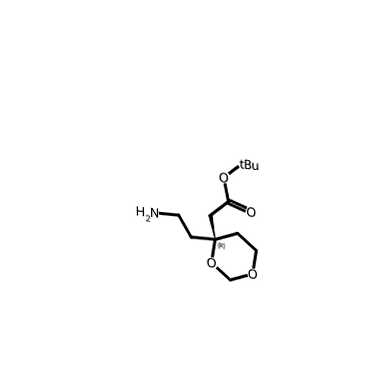 CC(C)(C)OC(=O)C[C@@]1(CCN)CCOCO1